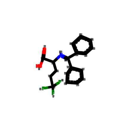 O=C(O)C(CCC(F)(F)F)N=C(c1ccccc1)c1ccccc1